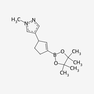 Cn1cc(C2C=C(B3OC(C)(C)C(C)(C)O3)CC2)cn1